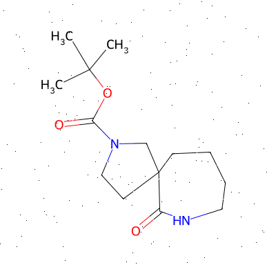 CC(C)(C)OC(=O)N1CCC2(CCCCNC2=O)C1